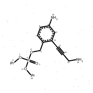 CC(C)OP(=O)(OCc1ccc(N)cc1C#CCN)OC(C)C